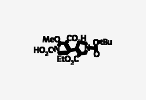 CCOC(=O)C1=C(C2=C(C(=O)O)C(OC)N(C(=O)O)C=C2)CCN(C(=O)OC(C)(C)C)C1